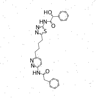 O=C(Cc1ccccc1)Nc1ccc(CCCCc2nnc(NC(=O)[C@@H](O)c3ccccc3)s2)nn1